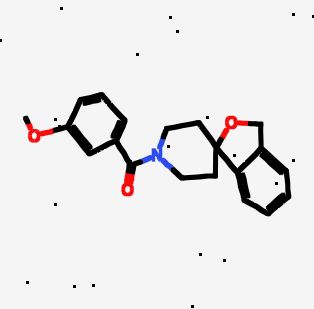 COc1cccc(C(=O)N2CCC3(CC2)OCc2ccccc23)c1